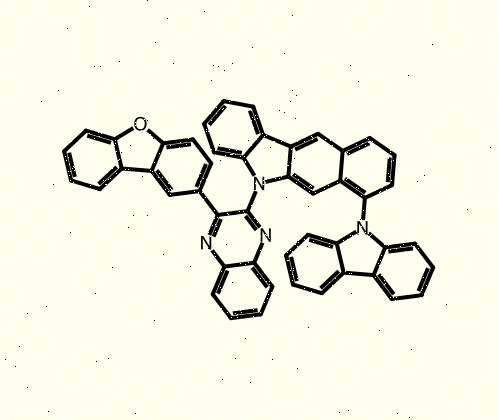 c1cc(-n2c3ccccc3c3ccccc32)c2cc3c(cc2c1)c1ccccc1n3-c1nc2ccccc2nc1-c1ccc2oc3ccccc3c2c1